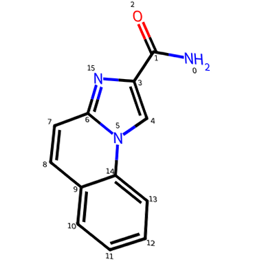 NC(=O)c1cn2c(ccc3ccccc32)n1